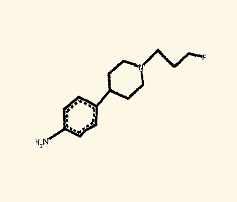 Nc1ccc(C2CCN(CCCF)CC2)cc1